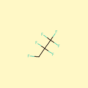 FCC(F)(F)C(F)(F)F